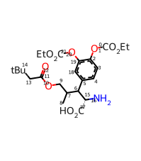 CCOC(=O)Oc1ccc(C(C(C)COC(=O)CC(C)(C)C)[C@H](N)C(=O)O)cc1OC(=O)OCC